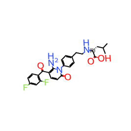 CC(C)C[C@@H](NCCc1ccc(-n2c(N)c(C(=O)c3ccc(F)cc3F)ccc2=O)cc1)C(=O)O